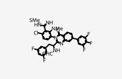 CNc1c(-n2c(C(Cc3cc(F)cc(F)c3)NC=O)nc3cc(-c4cc(F)c(F)c(F)c4)ccc3c2=O)ccc(Cl)c1C(=N)NSC